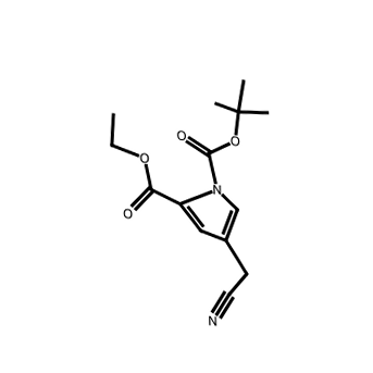 CCOC(=O)c1cc(CC#N)cn1C(=O)OC(C)(C)C